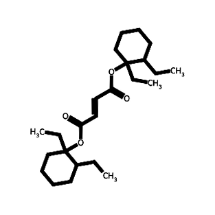 CCC1CCCCC1(CC)OC(=O)/C=C/C(=O)OC1(CC)CCCCC1CC